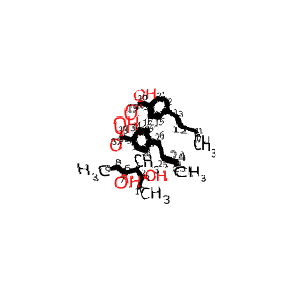 CCC(O)C(C)C(O)CC.CCCCc1ccc(C(=O)O)cc1.CCCCc1ccc(C(=O)O)cc1